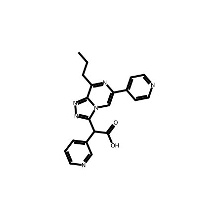 CCCc1nc(-c2ccncc2)cn2c(C(C(=O)O)c3cccnc3)nnc12